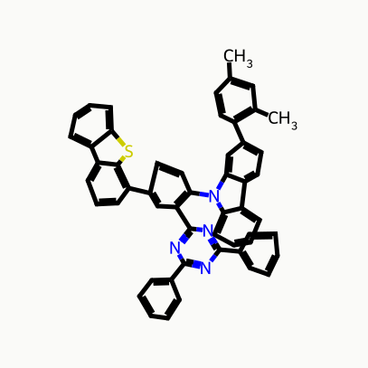 Cc1ccc(-c2ccc3c4ccccc4n(-c4ccc(-c5cccc6c5sc5ccccc56)cc4-c4nc(-c5ccccc5)nc(-c5ccccc5)n4)c3c2)c(C)c1